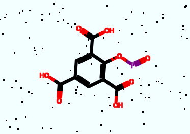 O=POc1c(C(=O)O)cc(C(=O)O)cc1C(=O)O